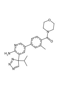 Cc1cc(-c2cnc(N)c(C3(C(C)C)C=NN=N3)c2)ccc1C(=O)N1CCOCC1